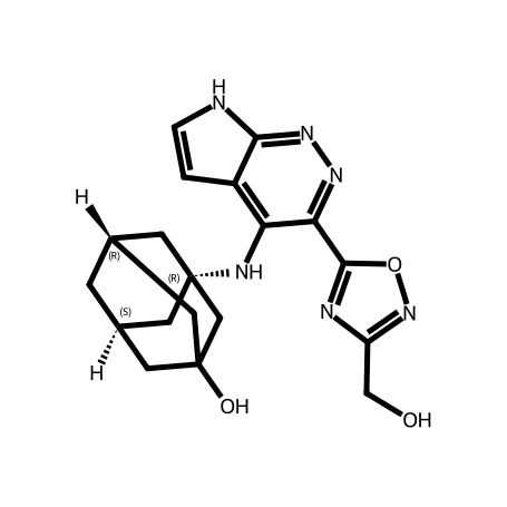 OCc1noc(-c2nnc3[nH]ccc3c2N[C@@]23C[C@@H]4C[C@@H](CC(O)(C4)C2)C3)n1